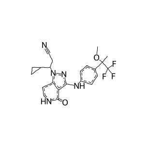 COC(C)(c1ccc(Nc2nn(C(CC#N)C3CC3)c3cc[nH]c(=O)c23)cc1)C(F)(F)F